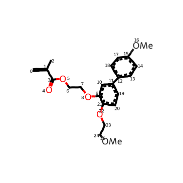 C=C(C)C(=O)OCCOc1cc(-c2ccc(OC)cc2)ccc1OCCOC